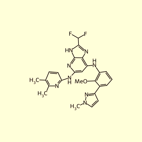 COc1c(Nc2cc(Nc3ccc(C)c(C)n3)nc3[nH]c(C(F)F)nc23)cccc1-c1ccn(C)n1